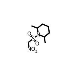 CC1CCCC(C)N1S(=O)(=O)C[N+](=O)[O-]